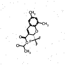 Cc1cc(C)c2c(c1)C=C(C(=O)OC(C)Cl)[C@@H](C(F)(F)F)O2